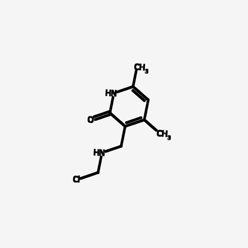 Cc1cc(C)c(CNCCl)c(=O)[nH]1